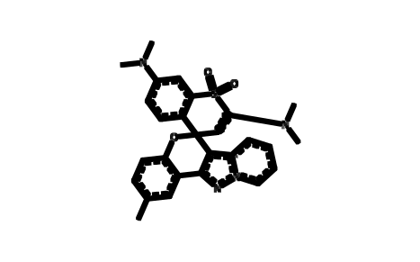 Cc1ccc2c(c1)-c1nn3ccccc3c1C1(O2)c2ccc(N(C)C)cc2S(=O)(=O)c2cc(N(C)C)ccc21